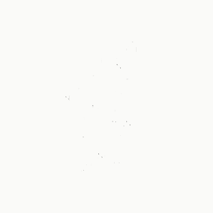 CC1=C(C#N)C(C#N)(c2ccc([N+](=O)[O-])cc2)CCN1C